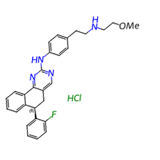 COCCNCCc1ccc(Nc2ncc3c(n2)-c2ccccc2[C@H](c2ccccc2F)C3)cc1.Cl